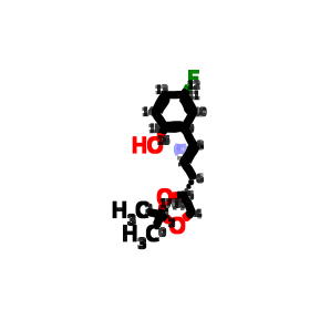 CC1(C)OC[C@@H](C/C=C/c2cc(F)ccc2O)O1